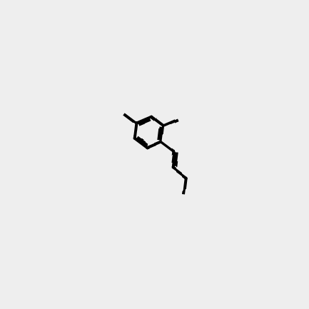 CCC=Cc1ccc(C)cc1C